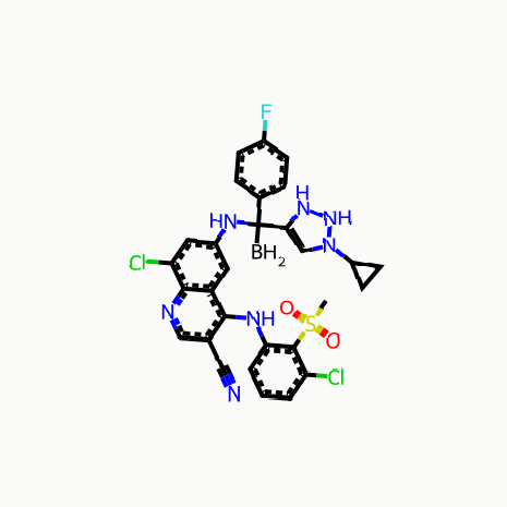 BC(Nc1cc(Cl)c2ncc(C#N)c(Nc3cccc(Cl)c3S(C)(=O)=O)c2c1)(C1=CN(C2CC2)NN1)c1ccc(F)cc1